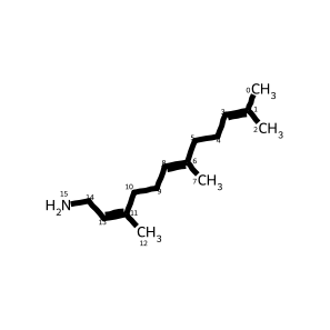 CC(C)=CCC/C(C)=C/CC/C(C)=C\CN